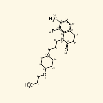 CCCOC1CCN(CCCN2C(=O)CCc3ccc(C)c(F)c32)CC1